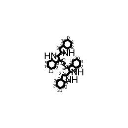 C1CCC2NC(C3NC4CCCCC4C3SSC3C4CCCCC4NC3C3CC4CCCCC4N3)CC2C1